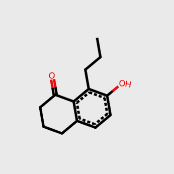 CCCc1c(O)ccc2c1C(=O)CCC2